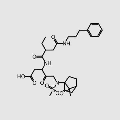 CCC(CC(=O)NCCCc1ccccc1)C(=O)NC(CC(=O)O)C(=O)CN(C12CCC(CC1=O)C2(C)C)S(C)(=O)=O